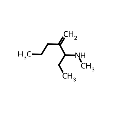 C=C(CCC)C(CC)NC